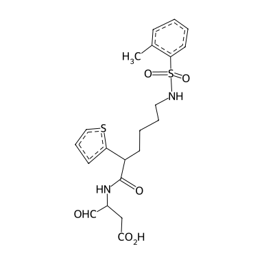 Cc1ccccc1S(=O)(=O)NCCCCC(C(=O)NC(C=O)CC(=O)O)c1cccs1